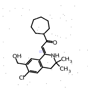 CC1(C)Cc2cc(Cl)c(CO)cc2/C(=C/C(=O)C2CCCCCC2)N1